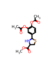 COC(=O)C1CSC(c2ccc(OC(C)=O)c(OC(C)=O)c2)N1